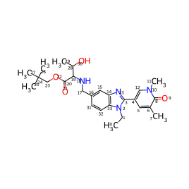 CCn1c(-c2cc(C)c(=O)n(C)c2)nc2cc(CNC(C(=O)OCC(C)(C)C)C(C)O)ccc21